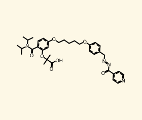 CC(C)N(C(=O)c1ccc(OCCCCCOc2ccc(CN=NC(=O)c3ccncc3)cc2)cc1OC(C)(C)C(=O)O)C(C)C